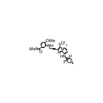 CNC(=O)c1ccc(OC)c(NCC#Cc2nc3c(N[C@H]4[C@@H]5CN(C)C[C@@]54F)cccn3c2SC(F)(F)F)c1